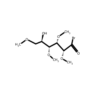 COC[C@@H](O)[C@@H](OC)[C@H](OC)[C@@H](OC)C(=O)Br